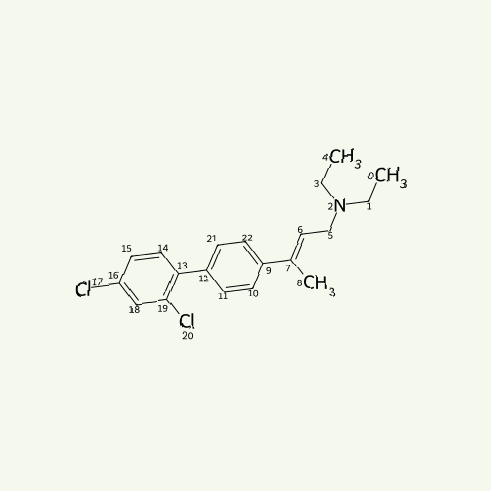 CCN(CC)CC=C(C)c1ccc(-c2ccc(Cl)cc2Cl)cc1